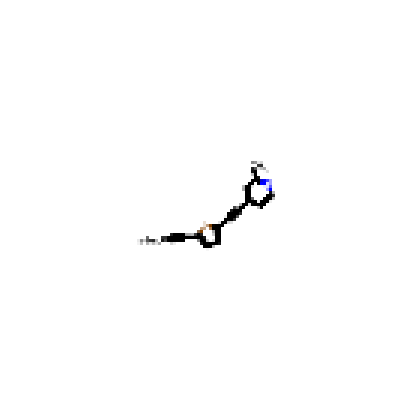 CCCCCCC#Cc1ccc(C#Cc2ccnc(C)c2)s1